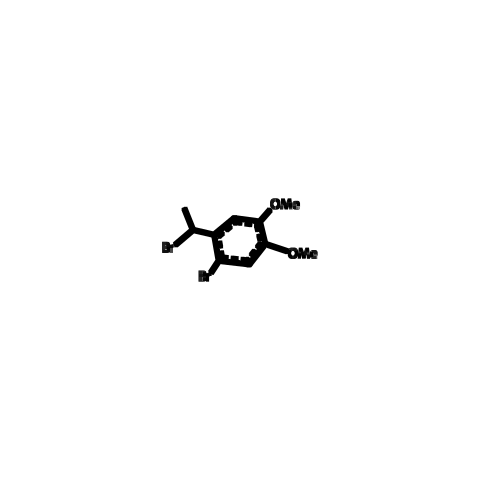 COc1cc(Br)c(C(C)Br)cc1OC